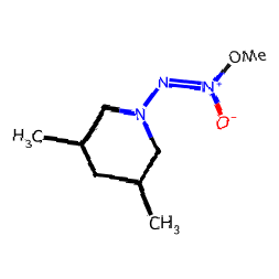 [CH2]O/[N+]([O-])=N/N1CC(C)CC(C)C1